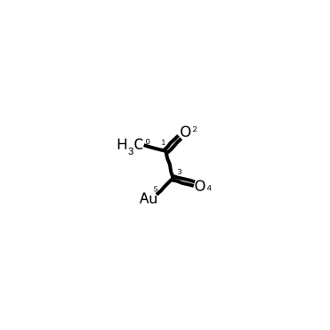 CC(=O)[C](=O)[Au]